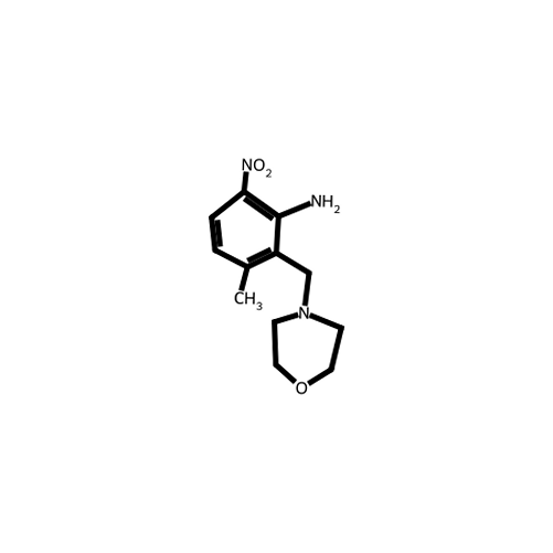 Cc1ccc([N+](=O)[O-])c(N)c1CN1CCOCC1